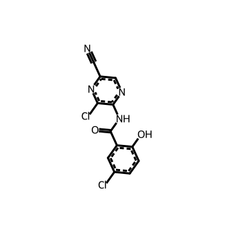 N#Cc1cnc(NC(=O)c2cc(Cl)ccc2O)c(Cl)n1